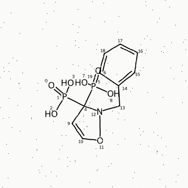 O=P(O)(O)C1(P(=O)(O)O)C=CON1Cc1ccccc1